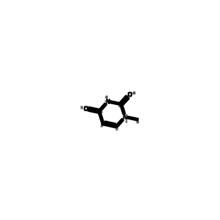 CN1C=CC(=O)[N]C1=O